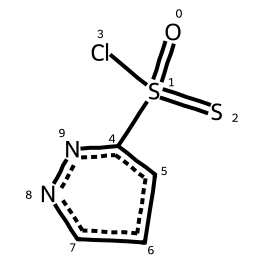 O=S(=S)(Cl)c1cccnn1